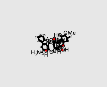 COc1c(C)cc2c(c1O)[C@@]1(C)[C@@H]3[C@@H]4SC[C@]5(N[C@@H](CN)Cc6c5[nH]c5ccccc65)C(=O)OC[C@@H](c5c6c(c(C)c(OC(C)=O)c54)OCO6)N3C(O)(C2)CN1C